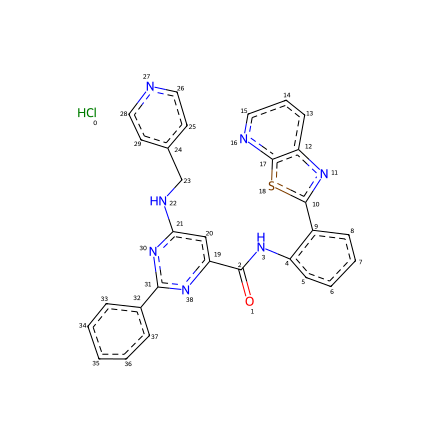 Cl.O=C(Nc1ccccc1-c1nc2cccnc2s1)c1cc(NCc2ccncc2)nc(-c2ccccc2)n1